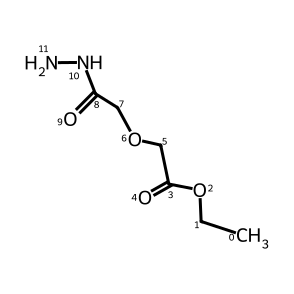 CCOC(=O)COCC(=O)NN